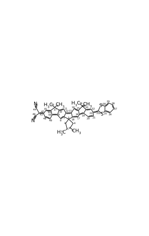 CCCC1(CCC)c2cc3c(cc2=c2cc4c(cc21)=c1ccc(=C2Sc5ccccc5S2)cc1C4(C)C)C(C)(C)c1cc(=C(C#N)C#N)ccc1=3